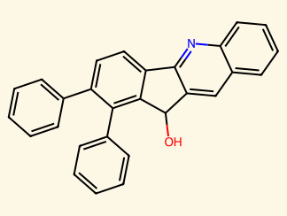 OC1c2cc3ccccc3nc2-c2ccc(-c3ccccc3)c(-c3ccccc3)c21